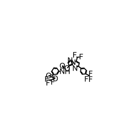 O=C(Nc1cccc(S(=O)(=O)C(F)(F)F)c1)Oc1cnn2c(C(F)F)cc(-c3ccc(C(F)(F)F)cc3)nc12